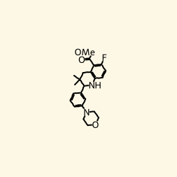 COC(=O)c1c(F)ccc2c1CC(C)(C)C(c1cccc(N3CCOCC3)c1)N2